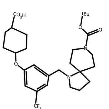 CC(C)(C)OC(=O)N1CCC2(CCCN2Cc2cc(OC3CCC(C(=O)O)CC3)cc(C(F)(F)F)c2)CC1